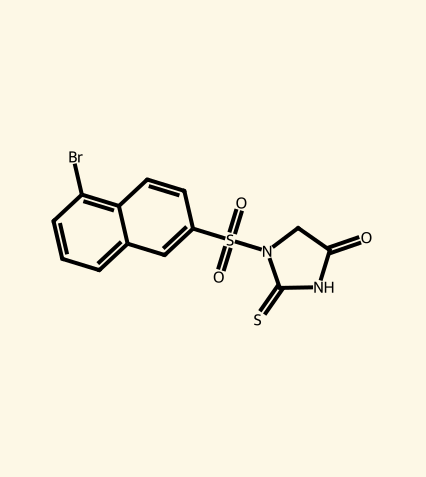 O=C1CN(S(=O)(=O)c2ccc3c(Br)cccc3c2)C(=S)N1